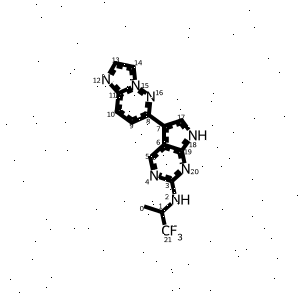 CC(Nc1ncc2c(-c3ccc4nccn4n3)c[nH]c2n1)C(F)(F)F